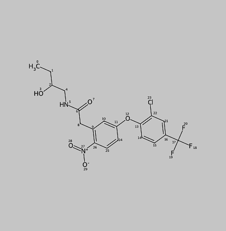 CCC(O)CNC(=O)Cc1cc(Oc2ccc(C(F)(F)F)cc2Cl)ccc1[N+](=O)[O-]